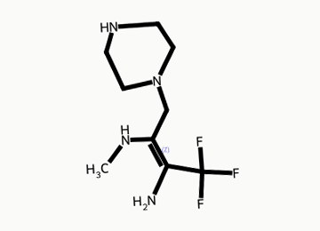 CN/C(CN1CCNCC1)=C(\N)C(F)(F)F